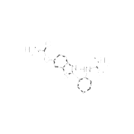 NC(=O)Nc1ccccc1-c1nc2ccc(OC(N)=O)cc2s1